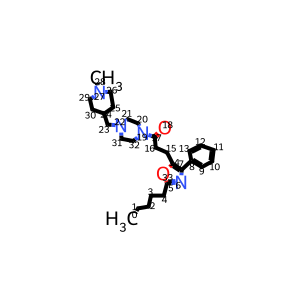 CCCCCc1nc(-c2ccccc2)c(CCC(=O)N2CCN(CC3CCN(C)CC3)CC2)o1